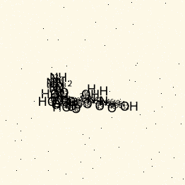 CC(C)(COP(=O)(O)OP(=O)(O)OCC1OC(n2cnc3c(N)ncnc32)C(O)C1OP(=O)(O)O)C(O)C(=O)NCCC(=O)NCCC(=O)CCCO